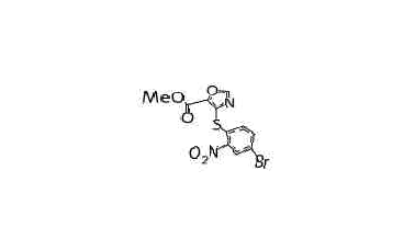 COC(=O)c1ocnc1Sc1ccc(Br)cc1[N+](=O)[O-]